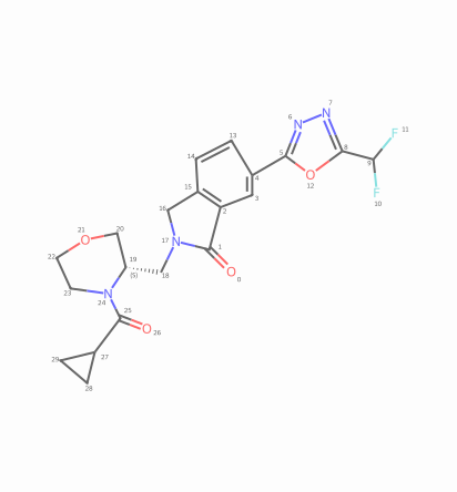 O=C1c2cc(-c3nnc(C(F)F)o3)ccc2CN1C[C@H]1COCCN1C(=O)C1CC1